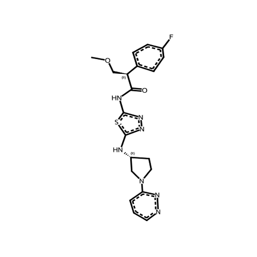 COC[C@H](C(=O)Nc1nnc(N[C@@H]2CCN(c3cccnn3)C2)s1)c1ccc(F)cc1